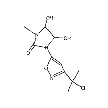 CN1C(=O)N(c2cc(C(C)(C)Cl)no2)C(O)C1O